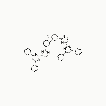 c1ccc(-c2cc(-c3ccccc3)nc(-c3ccnc(-c4ccc5oc6ccc(-c7nccc(-c8nc(-c9ccccc9)cc(-c9ccccc9)n8)n7)cc6c5c4)n3)n2)cc1